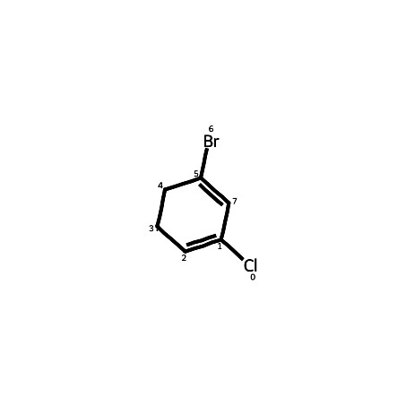 ClC1=C[CH]CC(Br)=C1